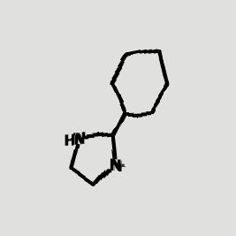 C1CCC(C2[N]CCN2)CC1